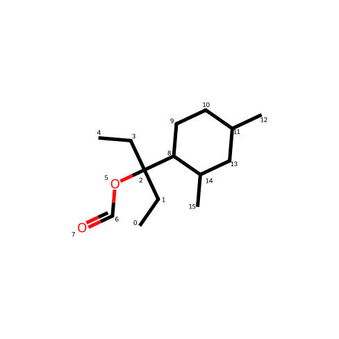 CCC(CC)(OC=O)C1CCC(C)CC1C